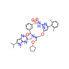 Cc1cccc(C)c1-c1cc2nc(n1)NS(=O)(=O)c1cccc(c1)C(=O)N(Cc1cnc3cc(C(C)C)n(C)c3n1)[C@H](COC1CCCC1)CO2